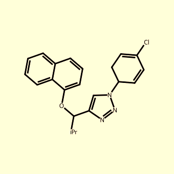 CC(C)C(Oc1cccc2ccccc12)c1cn(C2C=CC(Cl)=CC2)nn1